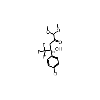 COC(OC)C(=O)C[C@@](O)(c1ccc(Cl)cc1)C(F)(F)F